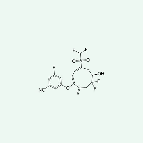 C=C1CC(F)(F)[C@H](O)C/C(S(=O)(=O)C(F)F)=C\C=C/1Oc1cc(F)cc(C#N)c1